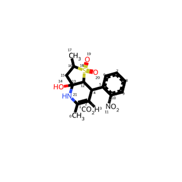 CC1=C(C(=O)O)C(c2ccccc2[N+](=O)[O-])C2C(O)(CC(C)S2(=O)=O)N1